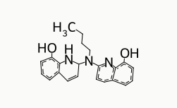 CCCCN(c1ccc2cccc(O)c2n1)C1C=Cc2cccc(O)c2N1